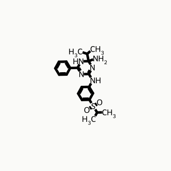 CC(C)C1(N)N=C(Nc2cccc(S(=O)(=O)C(C)C)c2)N=C(c2ccccc2)N1